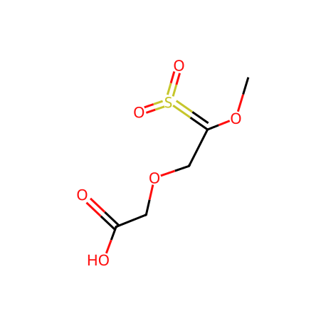 COC(COCC(=O)O)=S(=O)=O